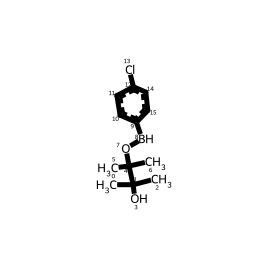 CC(C)(O)C(C)(C)OBc1ccc(Cl)cc1